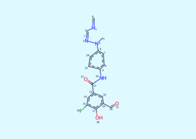 C=N/C=N\N(C)c1ccc(NC(=O)c2cc(F)c(O)c(C=O)c2)cc1